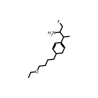 CCOCCCCC1C=CC(C(C)C(N)CF)=CC1